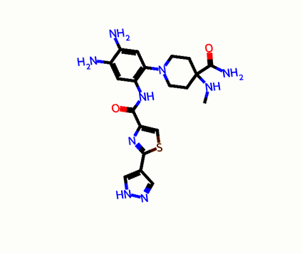 CNC1(C(N)=O)CCN(c2cc(N)c(N)cc2NC(=O)c2csc(-c3cn[nH]c3)n2)CC1